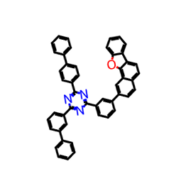 c1ccc(-c2ccc(-c3nc(-c4cccc(-c5ccccc5)c4)nc(-c4cccc(-c5ccc6ccc7c8ccccc8oc7c6c5)c4)n3)cc2)cc1